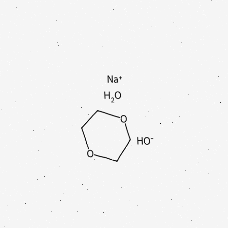 C1COCCO1.O.[Na+].[OH-]